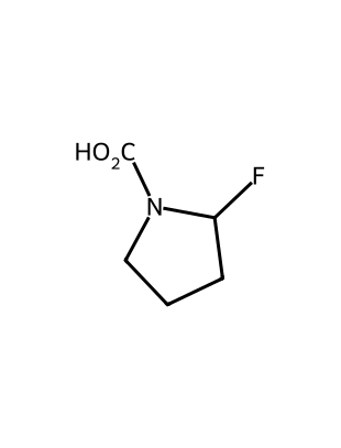 O=C(O)N1CCCC1F